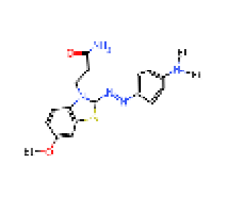 CCOc1ccc2c(c1)SC(N=Nc1ccc(N(CC)CC)cc1)N2CCC(N)=O